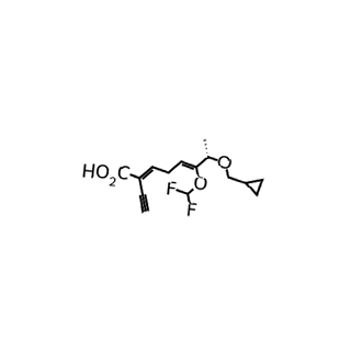 C#C/C(=C\CC=C(OC(F)F)[C@H](C)OCC1CC1)C(=O)O